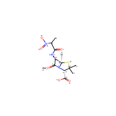 CC(C(=O)N[C@@H]1C(=O)N2[C@@H]1SC(C)(C)[C@@H]2C(=O)[O-])[N+](=O)[O-].[Na+]